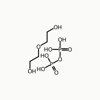 O=P(O)(O)OP(=O)(O)O.OCCOCCO